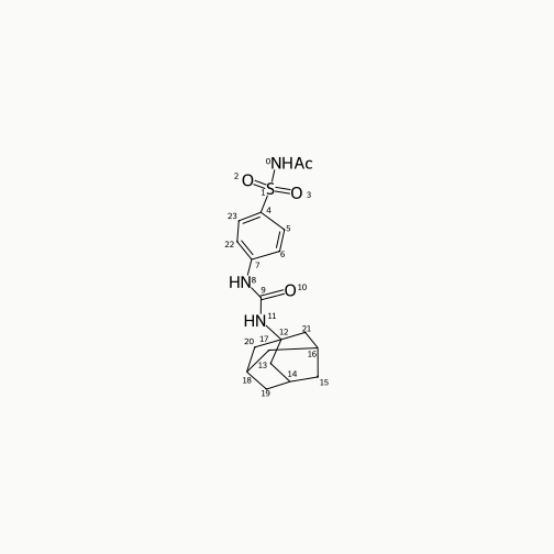 CC(=O)NS(=O)(=O)c1ccc(NC(=O)NC23CC4CC(CC(C4)C2)C3)cc1